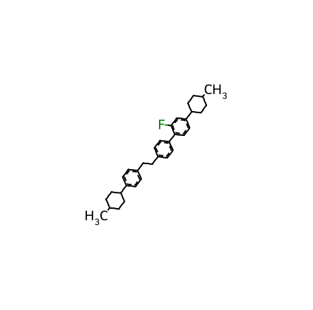 CC1CCC(c2ccc(CCc3ccc(-c4ccc(C5CCC(C)CC5)cc4F)cc3)cc2)CC1